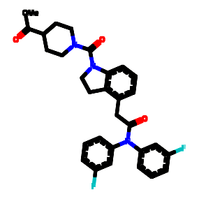 COC(=O)C1CCN(C(=O)N2CCc3c(CC(=O)N(c4cccc(F)c4)c4cccc(F)c4)cccc32)CC1